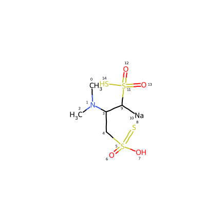 CN(C)C(CS(=O)(O)=S)[CH]([Na])S(=O)(=O)S